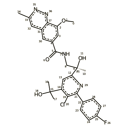 COc1cc(C(=O)NC[C@@](C)(O)c2cc(C(C)(C)O)c(Cl)c(-c3ccc(F)cc3)n2)cc2cc(C)nnc12